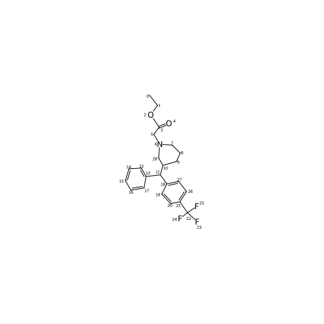 CCOC(=O)CN1CCCC(C(c2ccccc2)c2ccc(C(F)(F)F)cc2)C1